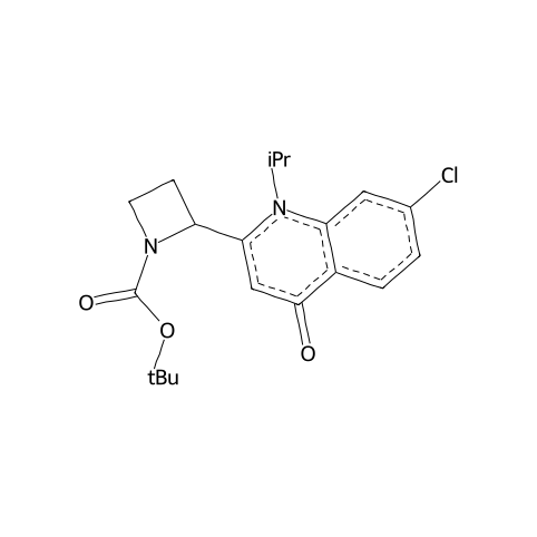 CC(C)n1c(C2CCN2C(=O)OC(C)(C)C)cc(=O)c2ccc(Cl)cc21